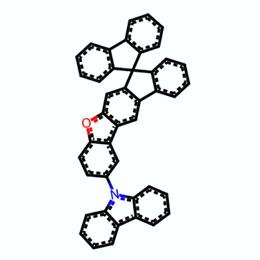 c1ccc2c(c1)-c1ccccc1C21c2ccccc2-c2cc3c(cc21)oc1ccc(-n2c4ccccc4c4ccccc42)cc13